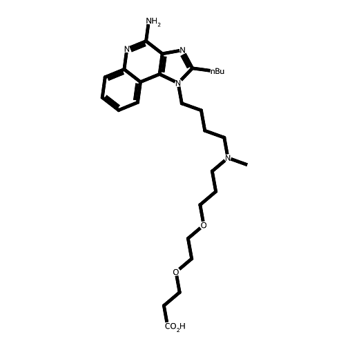 CCCCc1nc2c(N)nc3ccccc3c2n1CCCCN(C)CCCOCCOCCC(=O)O